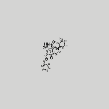 CC1(CC(COCc2ccccc2)C(=O)N2CCN(c3cccc(F)c3)CC2)NC(=O)NC1=O